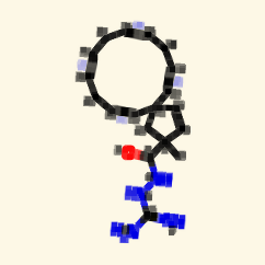 CC1(C(=O)NNC(=N)N)C=CC2(/C=C\C/C=C\C/C=C\C/C=C\2)C1